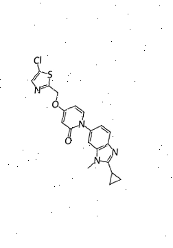 Cn1c(C2CC2)nc2ccc(-n3ccc(OCc4ncc(Cl)s4)cc3=O)cc21